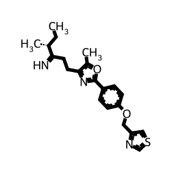 CC[C@@H](C)C(=N)CCc1nc(-c2ccc(OCc3cscn3)cc2)oc1C